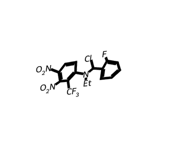 CCN(c1ccc([N+](=O)[O-])c([N+](=O)[O-])c1C(F)(F)F)C(Cl)c1ccccc1F